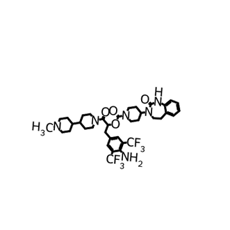 CN1CCC(C2CCN(C(=O)C(Cc3cc(C(F)(F)F)c(N)c(C(F)(F)F)c3)OC(=O)N3CCC(N4CCc5ccccc5NC4=O)CC3)CC2)CC1